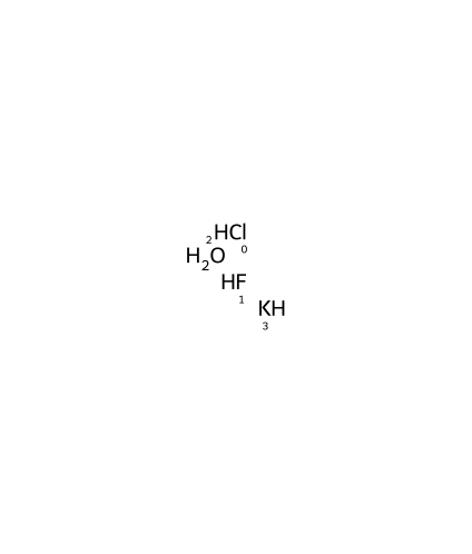 Cl.F.O.[KH]